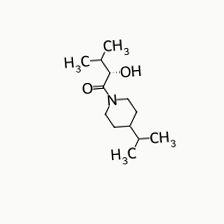 CC(C)C1CCN(C(=O)[C@@H](O)C(C)C)CC1